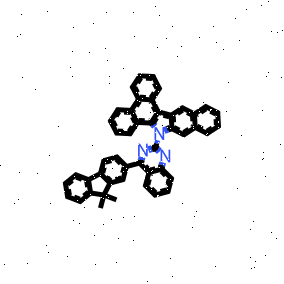 CC1(C)c2ccccc2-c2ccc(-c3nc(-n4c5cc6ccccc6cc5c5c6ccccc6c6ccccc6c54)nc4ccccc34)cc21